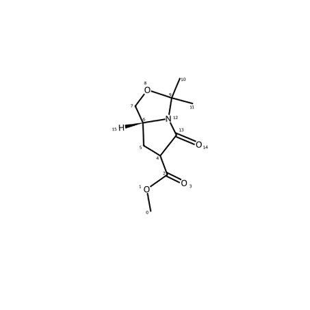 COC(=O)C1C[C@@H]2COC(C)(C)N2C1=O